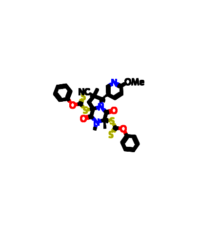 COc1ccc([C@@H]2N3C(=O)[C@](C)(SC(=S)Oc4ccccc4)N(C)C(=O)C3(SC(=S)Oc3ccccc3)C[C@]2(C)C#N)cn1